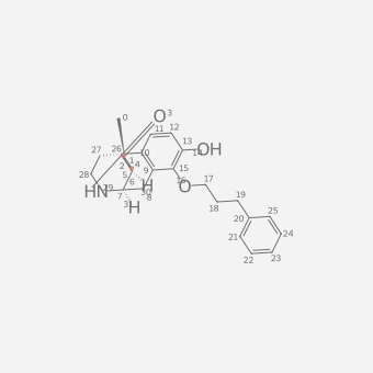 C[C@@H]1C(=O)CC[C@H]2[C@H]3Cc4c(ccc(O)c4OCCCc4ccccc4)[C@@]12CCN3